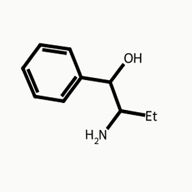 CCC(N)C(O)c1ccccc1